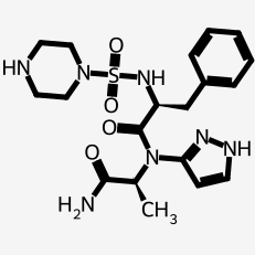 C[C@@H](C(N)=O)N(C(=O)[C@H](Cc1ccccc1)NS(=O)(=O)N1CCNCC1)c1cc[nH]n1